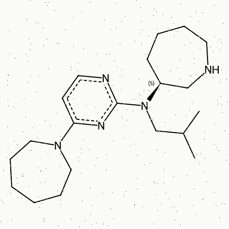 CC(C)CN(c1nccc(N2CCCCCC2)n1)[C@H]1CCCCNC1